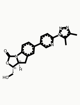 Cc1nnn(-c2ccc(-c3ccc4c(c3)C[C@H]3[C@H](CO)OC(=O)N43)cn2)c1C